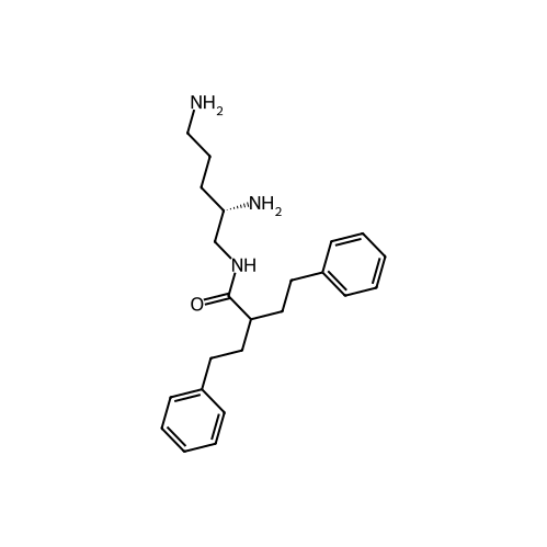 NCCC[C@H](N)CNC(=O)C(CCc1ccccc1)CCc1ccccc1